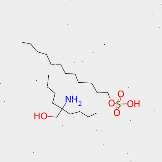 CCCCC(N)(CO)CCCC.CCCCCCCCCCCCOS(=O)(=O)O